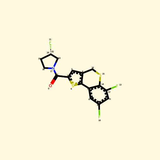 O=C(c1cc2c(s1)-c1cc(F)cc(F)c1SC2)N1CC[C@H](F)C1